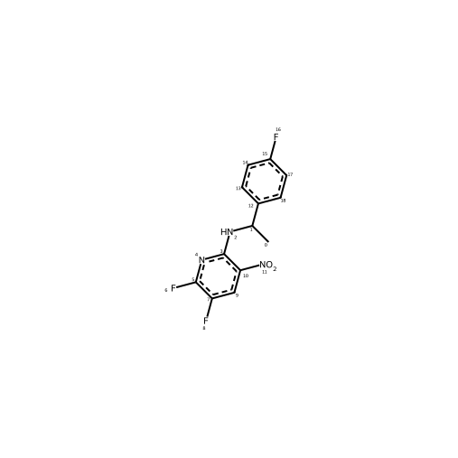 CC(Nc1nc(F)c(F)cc1[N+](=O)[O-])c1ccc(F)cc1